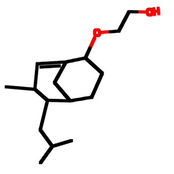 CC(C)CC1C(C)C=C2CC1CCC2OCCO